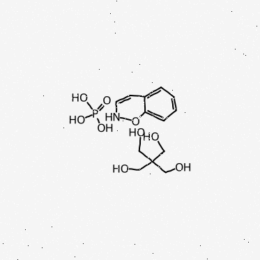 C1=Cc2ccccc2ON1.O=P(O)(O)O.OCC(CO)(CO)CO